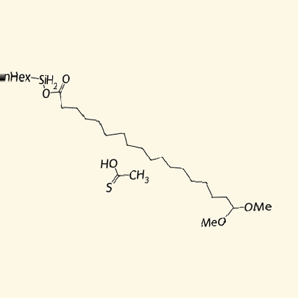 CC(O)=S.CCCCCC[SiH2]OC(=O)CCCCCCCCCCCCCCCCC(OC)OC